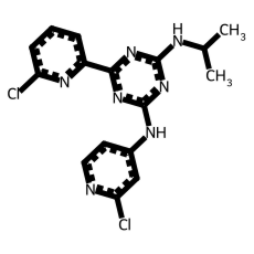 CC(C)Nc1nc(Nc2ccnc(Cl)c2)nc(-c2cccc(Cl)n2)n1